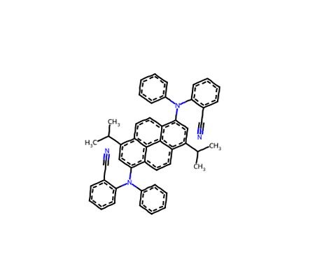 CC(C)c1cc(N(c2ccccc2)c2ccccc2C#N)c2ccc3c(C(C)C)cc(N(c4ccccc4)c4ccccc4C#N)c4ccc1c2c34